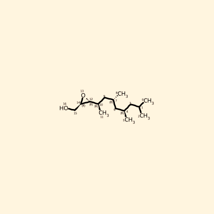 CC(C)C[C@@H](C)C[C@@H](C)C[C@@H](C)[C@H]1O[C@@H]1CO